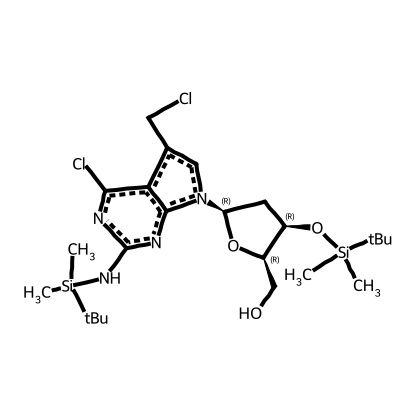 CC(C)(C)[Si](C)(C)Nc1nc(Cl)c2c(CCl)cn([C@H]3C[C@@H](O[Si](C)(C)C(C)(C)C)[C@@H](CO)O3)c2n1